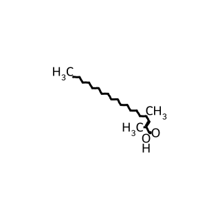 CCCCCCCCCCCCCCCCC(C)/C=C(\C)C(=O)O